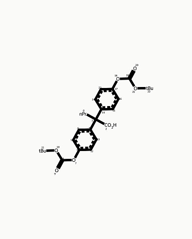 CCCC(C(=O)O)(c1ccc(OC(=O)OC(C)(C)C)cc1)c1ccc(OC(=O)OC(C)(C)C)cc1